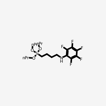 CCCO[Si](CCCCNc1c(F)c(F)c(F)c(F)c1F)(OCCC)OCCC